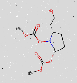 CC(C)(C)OC(=O)O[C@H]1CC[C@@H](CCO)N1OC(=O)OC(C)(C)C